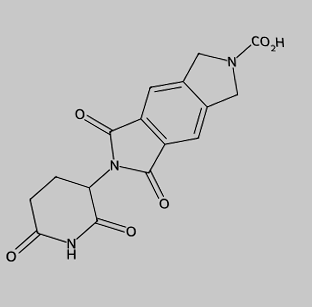 O=C1CCC(N2C(=O)c3cc4c(cc3C2=O)CN(C(=O)O)C4)C(=O)N1